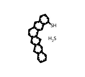 S.Sc1cccc2cc3ccc4cc5cc6ccccc6cc5cc4c3cc12